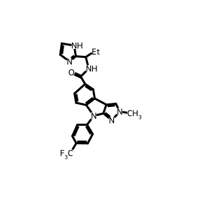 CCC(NC(=O)c1ccc2c(c1)c1cn(C)nc1n2-c1ccc(C(F)(F)F)cc1)c1ncc[nH]1